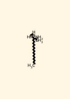 CCCCCCCCCCCCCCCCCC(C(C)N)C1NCCN1